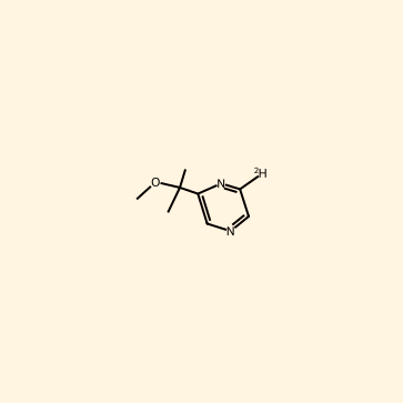 [2H]c1cncc(C(C)(C)OC)n1